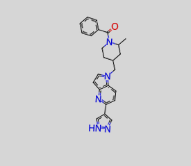 CC1CC(Cn2ccc3nc(-c4cn[nH]c4)ccc32)CCN1C(=O)c1ccccc1